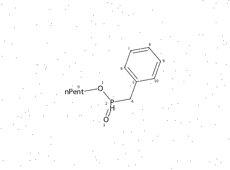 CCCCCO[PH](=O)Cc1cc[c]cc1